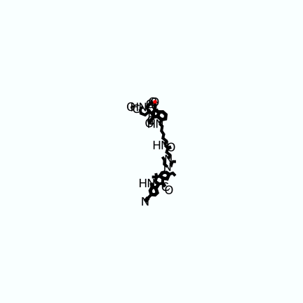 CCc1cc2c(cc1N1CC(C)N(CCC(=O)NCCCCCNc3cccc4c(=C=O)n(C5CCC(=C=O)NC5=C=O)c(=C=O)c34)C(C)C1)C(C)(C)c1[nH]c3cc(C#N)ccc3c1C2=C=O